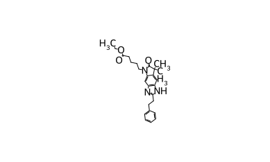 CCOC(=O)CCCCN1C(=O)C(C)(C)c2cc3[nH]c(CCc4ccccc4)nc3cc21